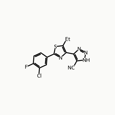 CCc1sc(-c2ccc(F)c(Cl)c2)nc1-c1nn[nH]c1C#N